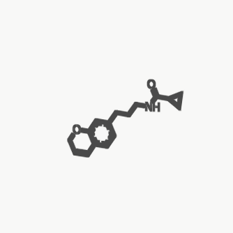 O=C(NCCCc1ccc2c(c1)OCC=C2)C1CC1